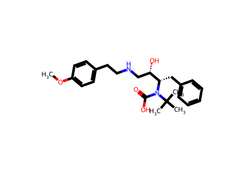 COc1ccc(CCNC[C@H](O)[C@H](Cc2ccccc2)N(C(=O)O)C(C)(C)C)cc1